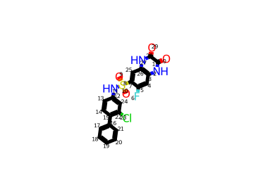 O=c1[nH]c2cc(F)c(S(=O)(=O)Nc3ccc(-c4ccccc4)c(Cl)c3)cc2[nH]c1=O